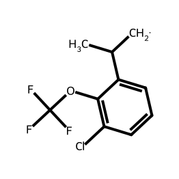 [CH2]C(C)c1cccc(Cl)c1OC(F)(F)F